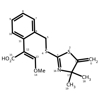 C=C1SC(SCc2ccccc2C(=COC)C(=O)O)=NC1(C)C